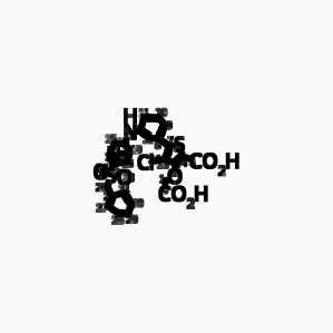 O=C(O)COc1c(C(=O)O)sc(-c2cccc(NC3CC4CCC3CN4S(=O)(=O)Cc3ccccc3)c2)c1Cl